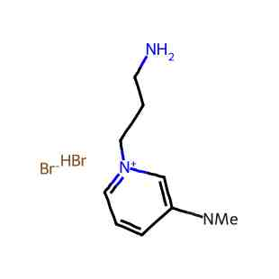 Br.CNc1ccc[n+](CCCN)c1.[Br-]